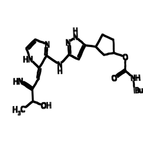 CCC(C)NC(=O)OC1CCC(c2cc(NC3=NC=CN/C3=C\C(=N)C(C)O)n[nH]2)C1